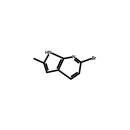 Cc1cc2ccc(Br)nc2[nH]1